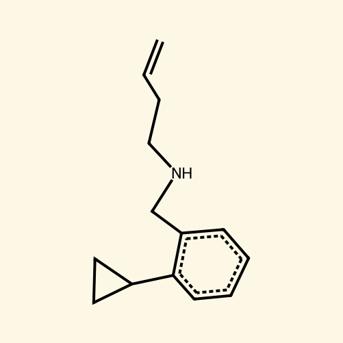 C=CCCNCc1ccccc1C1CC1